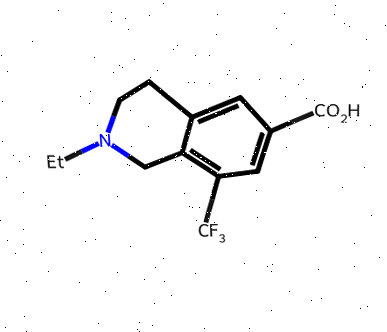 CCN1CCc2cc(C(=O)O)cc(C(F)(F)F)c2C1